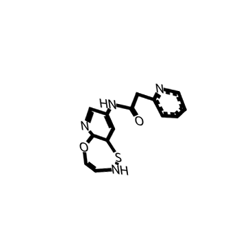 O=C(Cc1ccccn1)NC1=CC2SNC=COC2N=C1